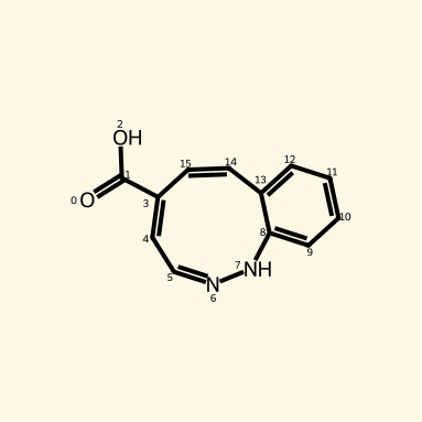 O=C(O)c1ccn[nH]c2ccccc2cc1